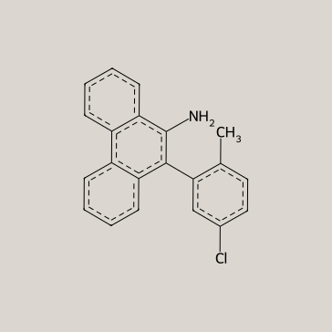 Cc1ccc(Cl)cc1-c1c(N)c2ccccc2c2ccccc12